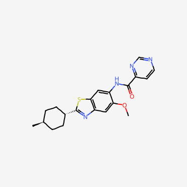 COc1cc2nc([C@H]3CC[C@H](C)CC3)sc2cc1NC(=O)c1ccncn1